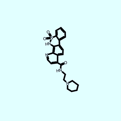 O=C(NCCN1CCCCC1)c1ccnc2c3c(ccc12)-c1ccccc1S(=O)(=O)N3